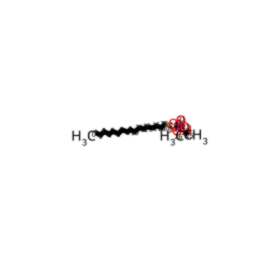 CCCCCCCCCCCCCCCCCCSOP(=O)(O)OC(C)C